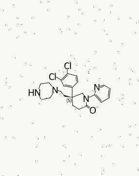 O=C1CC[C@](CCN2CCNCC2)(c2ccc(Cl)c(Cl)c2)CN1c1ccccn1